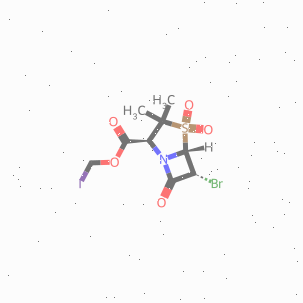 CC1(C)[C@H](C(=O)OCI)N2C(=O)[C@@H](Br)[C@H]2S1(=O)=O